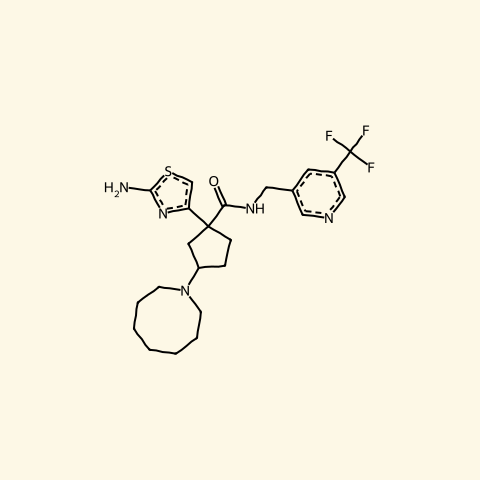 Nc1nc(C2(C(=O)NCc3cncc(C(F)(F)F)c3)CCC(N3CCCCCCC3)C2)cs1